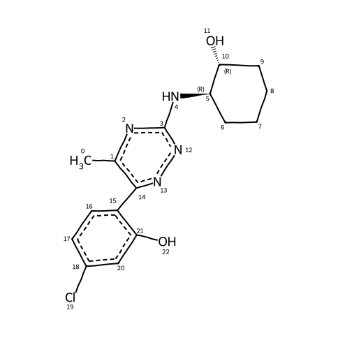 Cc1nc(N[C@@H]2CCCC[C@H]2O)nnc1-c1ccc(Cl)cc1O